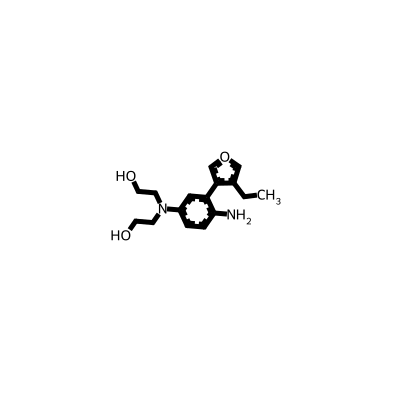 CCc1cocc1-c1cc(N(CCO)CCO)ccc1N